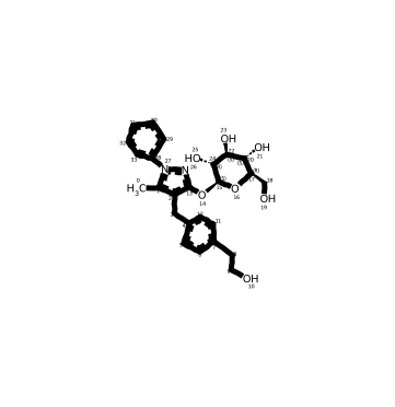 Cc1c(Cc2ccc(CCO)cc2)c(O[C@@H]2O[C@H](CO)[C@@H](O)[C@H](O)[C@H]2O)nn1-c1ccccc1